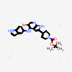 CC(C)(C)OC(=O)N1CC=C(c2cc3c(Nc4ccc5[nH]ccc5c4)c(Br)cnc3[nH]2)CC1